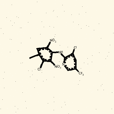 Cc1cc([N+](=O)[O-])c(Nc2ncc(C(F)(F)F)cc2Cl)c([N+](=O)[O-])c1Cl